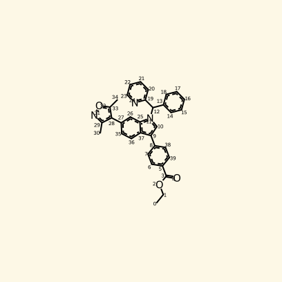 CCOC(=O)c1ccc(-c2cn(C(c3ccccc3)c3ccccn3)c3cc(-c4c(C)noc4C)ccc23)cc1